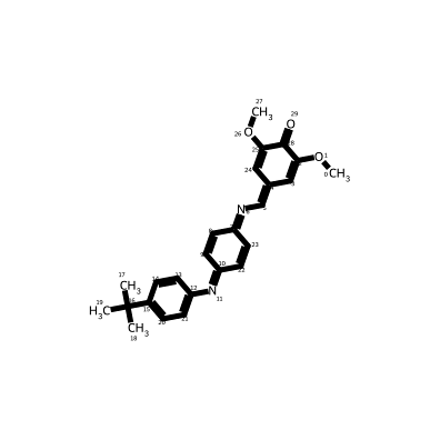 COC1=CC(=CN=C2C=CC(=Nc3ccc(C(C)(C)C)cc3)C=C2)C=C(OC)C1=O